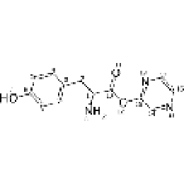 N[C@@H](Cc1ccc(O)cc1)C(=O)Oc1cnccn1